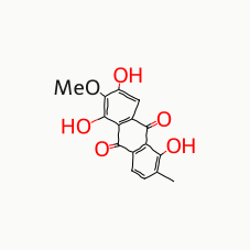 COc1c(O)cc2c(c1O)C(=O)c1ccc(C)c(O)c1C2=O